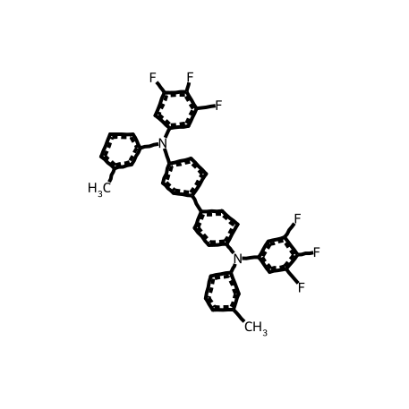 Cc1cccc(N(c2ccc(-c3ccc(N(c4cccc(C)c4)c4cc(F)c(F)c(F)c4)cc3)cc2)c2cc(F)c(F)c(F)c2)c1